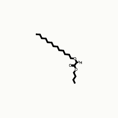 [3H]C(OCCCCCCCCCCCCC)C(=O)OCCCC